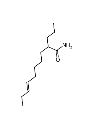 CCC=CCCCCC(CCC)C(N)=O